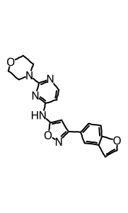 c1cc(Nc2cc(-c3ccc4occc4c3)no2)nc(N2CCOCC2)n1